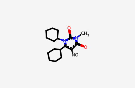 Cn1c(=O)c(N=O)c(C2CCCCC2)n(C2CCCCC2)c1=O